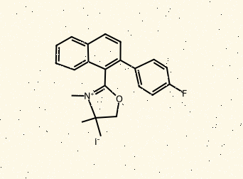 C[N+]1=C(c2c(-c3ccc(F)cc3)ccc3ccccc23)OCC1(C)C.[I-]